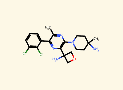 Cc1nc(N2CCC(C)(N)CC2)c(C2(N)COC2)nc1-c1cccc(Cl)c1Cl